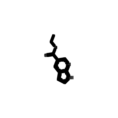 CCOC(=O)c1cnc2[nH]ccc2c1